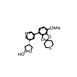 COc1ccc(-c2cncc([C@@H]3COB(O)C3)c2)c2c1OC1(CCSCC1)O2